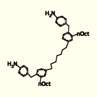 CCCCCCCCc1cc(CCCCCCCc2ccc(Cc3ccc(N)cc3)c(CCCCCCCC)c2)ccc1Cc1ccc(N)cc1